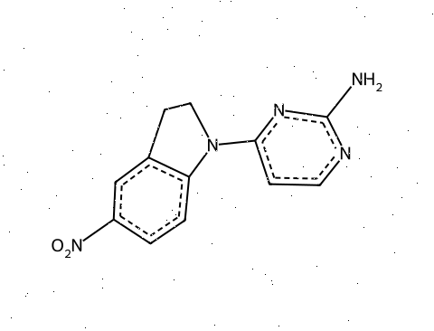 Nc1nccc(N2CCc3cc([N+](=O)[O-])ccc32)n1